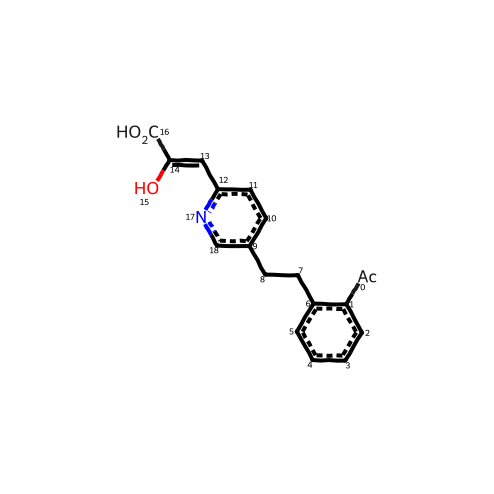 CC(=O)c1ccccc1CCc1ccc(/C=C(\O)C(=O)O)nc1